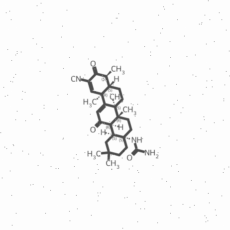 [C-]#[N+]C1=C[C@]2(C)C3=CC(=O)[C@@H]4[C@@H]5CC(C)(C)CC[C@]5(NC(N)=O)CC[C@@]4(C)[C@]3(C)CC[C@H]2[C@H](C)C1=O